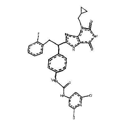 O=C(Nc1ccc(C(Cc2ccccc2F)c2nc3c([nH]2)c(=O)[nH]c(=O)n3CC2CC2)cc1)Nc1cc(Cl)nc(Cl)c1